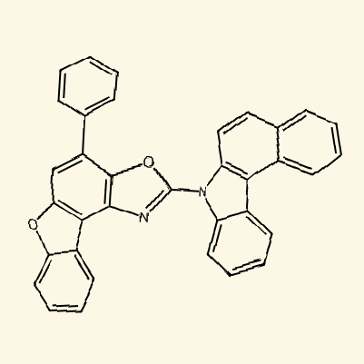 c1ccc(-c2cc3oc4ccccc4c3c3nc(-n4c5ccccc5c5c6ccccc6ccc54)oc23)cc1